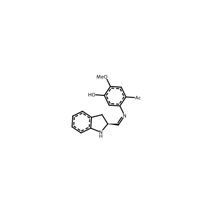 COc1cc(C(C)=O)c(/N=C\[C@@H]2Cc3ccccc3N2)cc1O